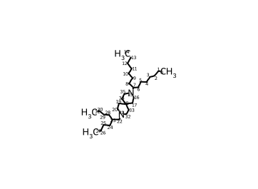 CCCCCCCC(CCCCCCC)N1CCC2(CCN(CC(CCCC)CCCC)CC2)CC1